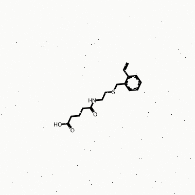 C=Cc1ccccc1CSCCNC(=O)CCCC(=O)O